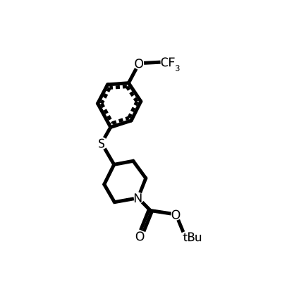 CC(C)(C)OC(=O)N1CCC(Sc2ccc(OC(F)(F)F)cc2)CC1